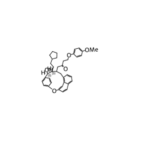 COc1ccc(OCCC(=O)CC2Cc3cccc4ccc(cc34)Oc3ccc(cc3)[C@@H](O)[C@H]2CCC2CCCC2)cc1